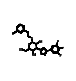 OCC1O[C@H](SCCc2cccc(Cl)c2)C(O)C(n2cc(-c3cc(F)c(F)c(F)c3)nn2)[C@H]1O